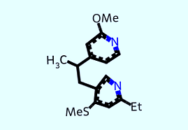 CCc1cc(SC)c(CC(C)c2ccnc(OC)c2)cn1